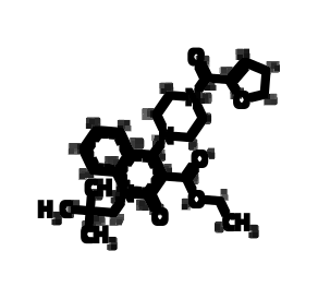 CCOC(=O)c1c(N2CCN(C(=O)C3=CCCO3)CC2)c2ccccc2n(CC(C)(C)C)c1=O